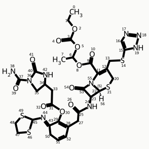 CCOC(=O)OC(C)OC(=O)C1=C(CSc2cnn[nH]2)CS[C@H]2C(NC(=O)CC3=C(OC(=O)CC4CN(C(N)=O)C(=O)N4)C(=NC4SCCS4)CC=C3)C(=O)N12